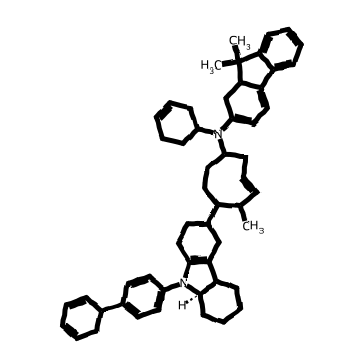 CC1/C=C/CC(N(C2=CC=C3c4ccccc4C(C)(C)C3C2)C2CC=CCC2)CCC1C1CCC2=C(C1)C1CCCC[C@H]1N2c1ccc(C2C=CC=CC2)cc1